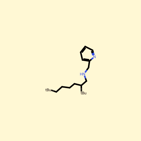 CC(C)(C)CCCCC(CNCc1ccccn1)C(C)(C)C